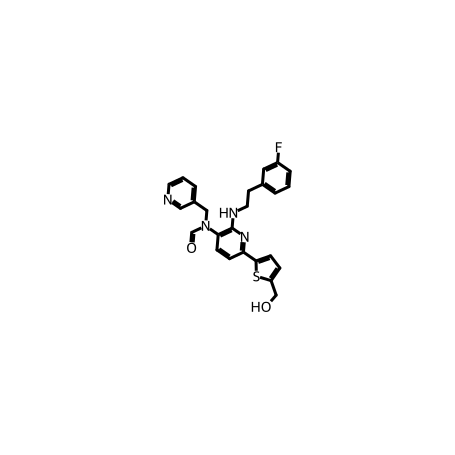 O=CN(Cc1cccnc1)c1ccc(-c2ccc(CO)s2)nc1NCCc1cccc(F)c1